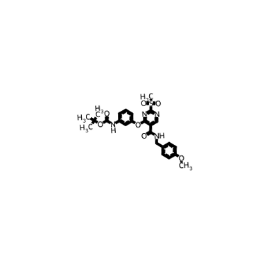 COc1ccc(CNC(=O)c2cnc(S(C)(=O)=O)nc2Oc2cccc(NC(=O)OC(C)(C)C)c2)cc1